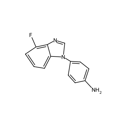 Nc1ccc(-n2cnc3c(F)cccc32)cc1